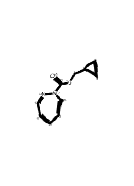 O=C(OCC1CC1)N1C=CC=CC=N1